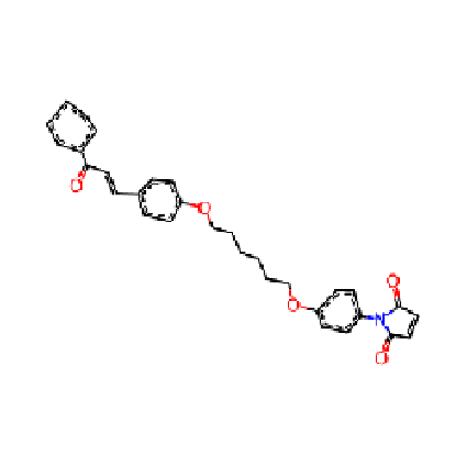 O=C(/C=C/c1ccc(OCCCCCCOc2ccc(N3C(=O)C=CC3=O)cc2)cc1)c1ccccc1